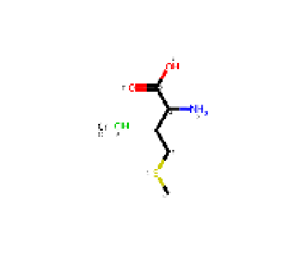 CSCCC(N)C(=O)O.Cl.[Cr]